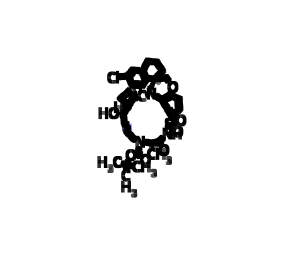 C[C@H]1C(=O)NS(=O)(=O)c2ccc3c(c2)N(C[C@@H]2CC[C@H]2[C@@H](O)/C=C\CN1C(=O)OC(C)(C)C)C[C@@]1(CCCc2cc(Cl)ccc21)CO3